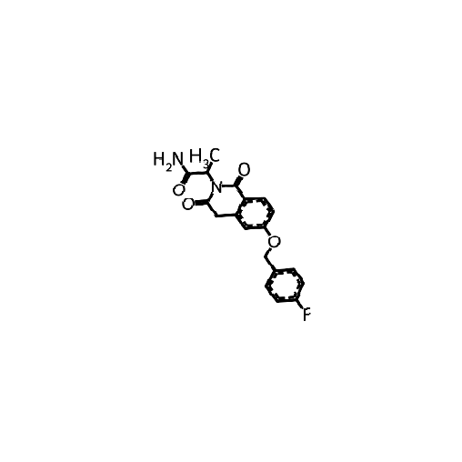 CC(C(N)=O)N1C(=O)Cc2cc(OCc3ccc(F)cc3)ccc2C1=O